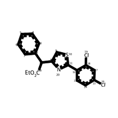 CCOC(=O)C(c1ccccc1)c1csc(-c2ccc(Cl)cc2Cl)n1